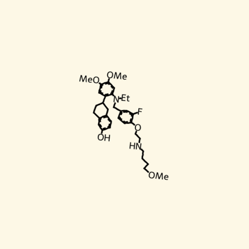 CCN(Cc1ccc(OCCNCCCCOC)c(F)c1)c1cc(OC)c(OC)cc1C1CCc2cc(O)ccc2C1